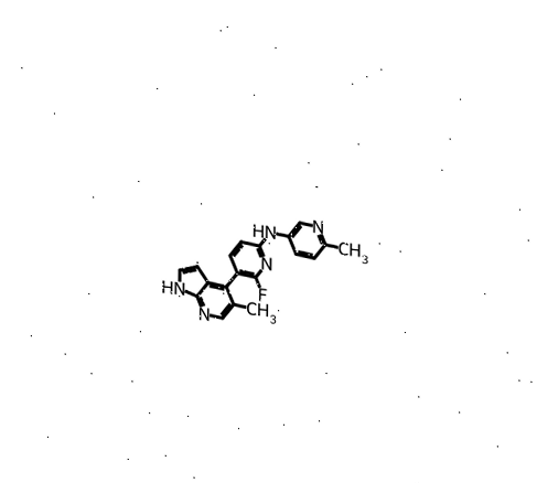 Cc1ccc(Nc2ccc(-c3c(C)cnc4[nH]c[c]c34)c(F)n2)cn1